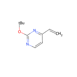 C=Cc1ccnc(OC(C)(C)C)n1